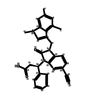 Cc1cc(C)c2c(Cn3c(=O)n([C@H](CC(=O)O)c4ccccc4)c4nc(C#N)ccc43)cn(C)c2c1